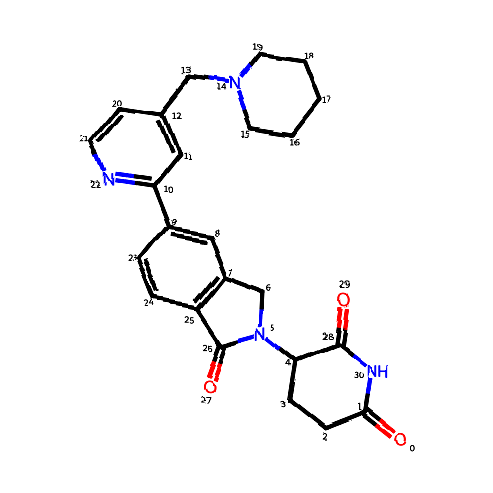 O=C1CCC(N2Cc3cc(-c4cc(CN5CCCCC5)ccn4)ccc3C2=O)C(=O)N1